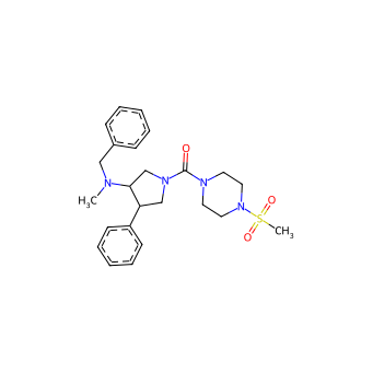 CN(Cc1ccccc1)C1CN(C(=O)N2CCN(S(C)(=O)=O)CC2)CC1c1ccccc1